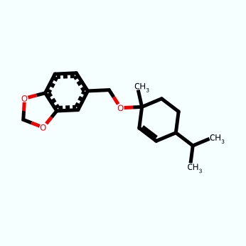 CC(C)C1C=CC(C)(OCc2ccc3c(c2)OCO3)CC1